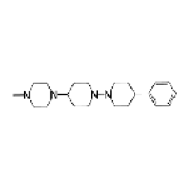 CN1CCN(C2CCN(N3CCC(c4ccccc4)CC3)CC2)CC1